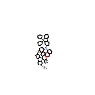 CC(C)(C)c1ccc2c(c1)C1(c3ccccc3Oc3c(-c4ccccc4N(c4ccc5c(c4)C(c4ccccc4)(c4ccccc4)c4ccccc4-5)c4ccccc4-c4ccccc4)cccc31)c1cc(C(C)(C)C)ccc1-2